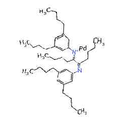 CCCCC(=Nc1cc(CCCC)cc(CCCC)c1)C(CCCC)=[N+]([Pd])c1cc(CCCC)cc(CCCC)c1